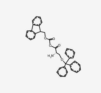 N[C@@H](COC(c1ccccc1)(c1ccccc1)c1ccccc1)C(=O)OC(=O)OCC1c2ccccc2-c2ccccc21